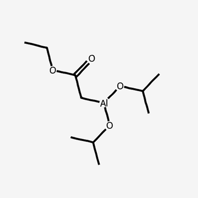 CCOC(=O)[CH2][Al]([O]C(C)C)[O]C(C)C